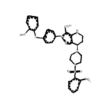 CCOC(=O)c1c2c(nn1-c1ccc(Oc3ccccc3OC)cc1)[C@H](N1CCN(S(=O)(=O)c3ccccc3[N+](=O)[O-])CC1)CCN2